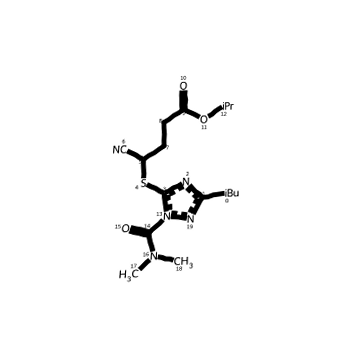 CCC(C)c1nc(SC(C#N)CCC(=O)OC(C)C)n(C(=O)N(C)C)n1